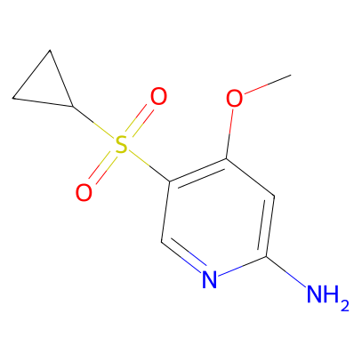 COc1cc(N)ncc1S(=O)(=O)C1CC1